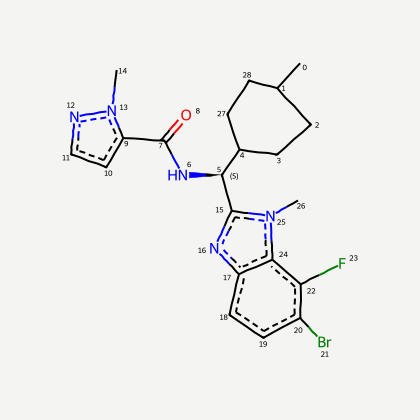 CC1CCC([C@H](NC(=O)c2ccnn2C)c2nc3ccc(Br)c(F)c3n2C)CC1